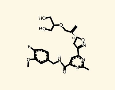 C=C(COC(CO)CO)[C@H]1CC(c2cc(C(=O)NCc3ccc(F)c(OC)c3)nc(C)n2)=NO1